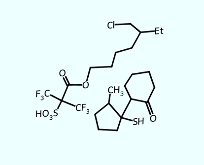 CC1CCCC1(S)C1CCCCC1=O.CCC(CCl)CCCCOC(=O)C(C(F)(F)F)(C(F)(F)F)S(=O)(=O)O